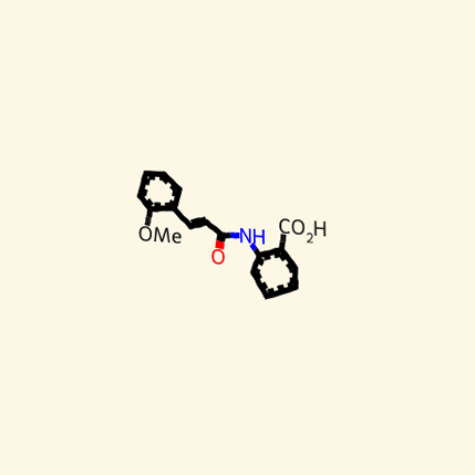 COc1ccccc1/C=C/C(=O)Nc1ccccc1C(=O)O